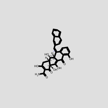 NC(=O)C1=C(O)C[C@@H]2[C@@H](O)[C@H]3C(=C(O)[C@]2(O)C1=O)C(=O)c1c(O)cccc1/C3=C\c1ccc2ccccc2c1